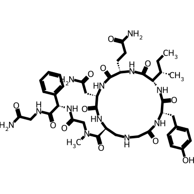 CC[C@H](C)[C@@H]1NC(=O)[C@H](Cc2ccc(O)cc2)NC(=O)CNC[C@@H](C(=O)N(C)CC(=O)N[C@H](C(=O)NCC(N)=O)c2ccccc2)NC(=O)[C@H](CC(N)=O)NC(=O)[C@H](CCC(N)=O)NC1=O